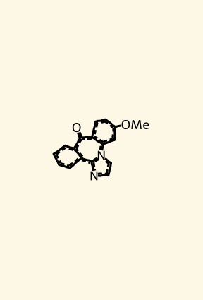 COc1ccc2c(=O)c3ccccc3c3nccn3c2c1